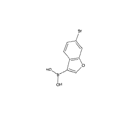 OB(O)c1coc2cc(Br)ccc12